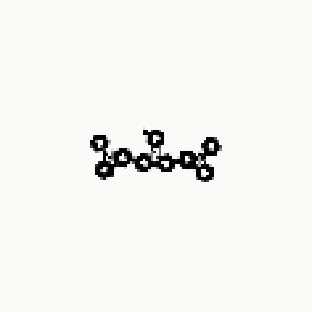 Cc1cccc(-n2c3cc(-c4ccc5c(c4)c4ccccc4n5-c4ccccc4)ccc3c3ccc(-c4ccc5c(c4)c4ccccc4n5-c4ccccc4)cc32)c1